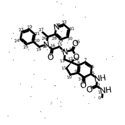 CNC(=O)NC1C=CC2=C(CC[C@]23CN(CC(=O)N(Cc2ccccc2)C(C)c2ccccn2)C(=O)O3)C1=O